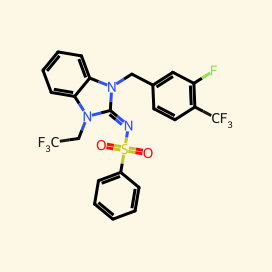 O=S(=O)(N=c1n(Cc2ccc(C(F)(F)F)c(F)c2)c2ccccc2n1CC(F)(F)F)c1ccccc1